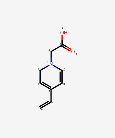 C=CC1=CCN(CC(=O)O)C=C1